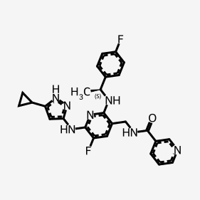 C[C@H](Nc1nc(Nc2cc(C3CC3)[nH]n2)c(F)cc1CNC(=O)c1cccnc1)c1ccc(F)cc1